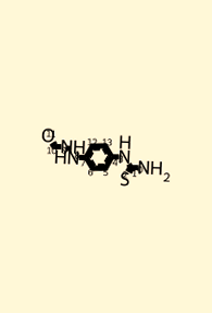 NC(=S)Nc1ccc(NNC=O)cc1